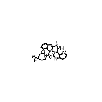 C[C@H](Nc1ncnc2cccnc12)c1cc2cccc(Cl)c2c(C(=O)N2CCC(F)(F)CC2)n1